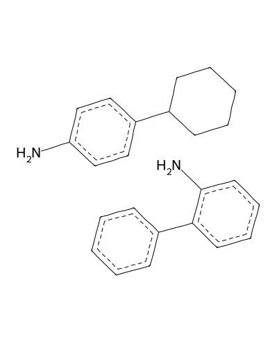 Nc1ccc(C2CCCCC2)cc1.Nc1ccccc1-c1ccccc1